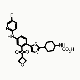 O=C(O)NC1CCC(c2ncc(-c3ccc(Nc4ccc(F)cn4)cc3S(=O)(=O)C3COC3)s2)CC1